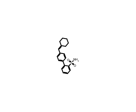 NS(=O)(=O)c1ccccc1-c1ccc(C=C2CCCCC2)cc1